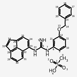 CS(=O)(=O)O.N=C(Nc1cccc(OCc2ccccc2)c1)Nc1ccc2c3c(cccc13)C=C2